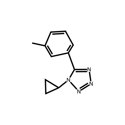 Cc1cccc(-c2nnnn2C2CC2)c1